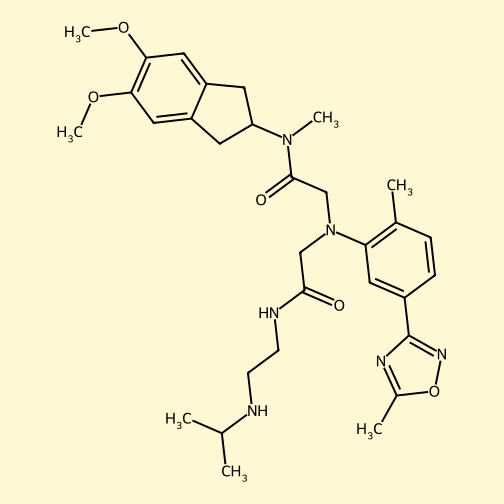 COc1cc2c(cc1OC)CC(N(C)C(=O)CN(CC(=O)NCCNC(C)C)c1cc(-c3noc(C)n3)ccc1C)C2